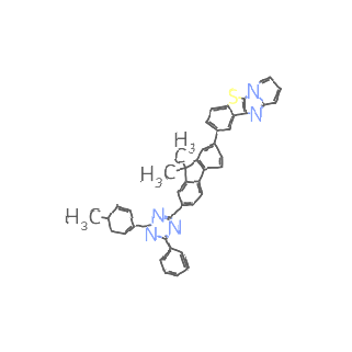 CC1C=CC(c2nc(-c3ccccc3)nc(-c3ccc4c(c3)C(C)(C)c3cc(-c5ccc6sc7c(nc8ccccn87)c6c5)ccc3-4)n2)=CC1